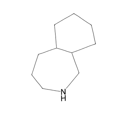 C1CCC2CNCCCC2C1